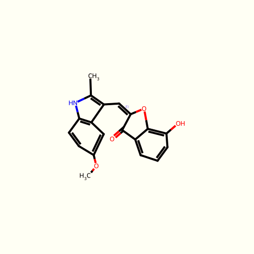 COc1ccc2[nH]c(C)c(/C=C3/Oc4c(O)cccc4C3=O)c2c1